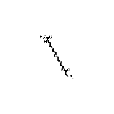 C=CC(=O)NCCOCCOCCOCCNC(C)=O